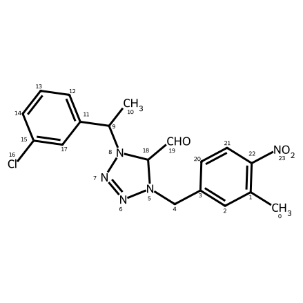 Cc1cc(CN2N=NN(C(C)c3cccc(Cl)c3)C2C=O)ccc1[N+](=O)[O-]